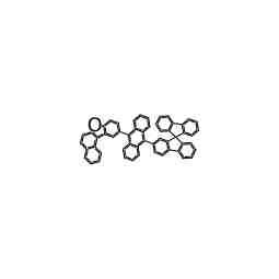 c1ccc2c(c1)-c1ccccc1C21c2ccccc2-c2ccc(-c3c4ccccc4c(-c4ccc5oc6ccc7ccccc7c6c5c4)c4ccccc34)cc21